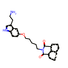 NCCc1c[nH]c2ccc(OCCCCCN3C(=O)c4cccc5cccc(c45)C3=O)cc12